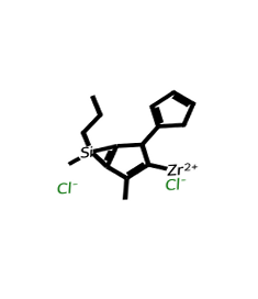 CCC[Si]1(C)C2=C1C(C1=CC=CC1)[C]([Zr+2])=C2C.[Cl-].[Cl-]